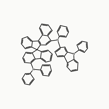 c1ccc(N(c2ccccc2)c2cccc3c2-c2ccccc2C32c3ccccc3-c3c2cc(N(c2ccccc2)c2ccc4c5ccccc5n(-c5ccccc5)c4c2)c2ccccc32)cc1